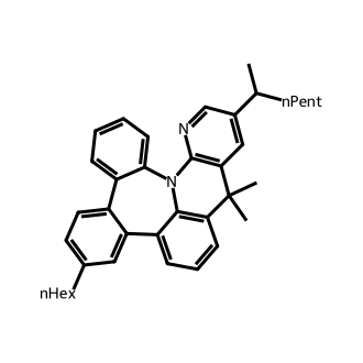 CCCCCCc1ccc2c(c1)-c1cccc3c1N(c1ccccc1-2)c1ncc(C(C)CCCCC)cc1C3(C)C